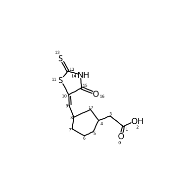 O=C(O)CC1CCCC(C=C2SC(=S)NC2=O)C1